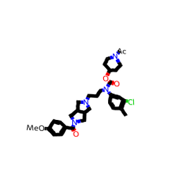 COc1ccc(C(=O)N2CC3CN(CCCN(C(=O)OC4CCN(C(C)=O)CC4)c4ccc(C)c(Cl)c4)CC3C2)cc1